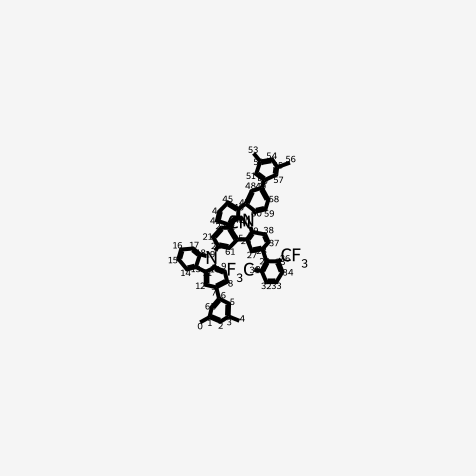 Cc1cc(C)cc(-c2ccc3c(c2)c2ccccc2n3-c2ccc(C#N)c(-c3cc(-c4c(C(F)(F)F)cccc4C(F)(F)F)ccc3-n3c4ccccc4c4cc(-c5cc(C)cc(C)c5)ccc43)c2)c1